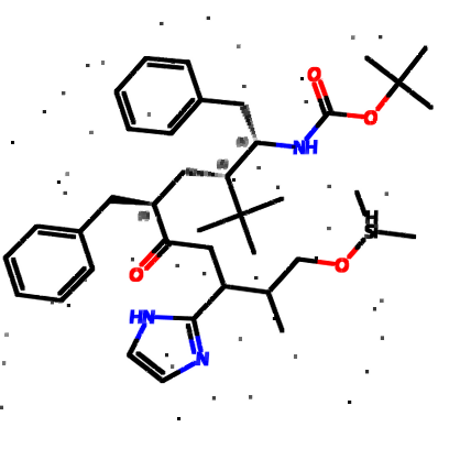 CC(CO[SiH](C)C)C(CC(=O)[C@@H](Cc1ccccc1)C[C@H]([C@H](Cc1ccccc1)NC(=O)OC(C)(C)C)C(C)(C)C)c1ncc[nH]1